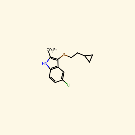 CCOC(=O)c1[nH]c2ccc(Cl)cc2c1SCCC1CC1